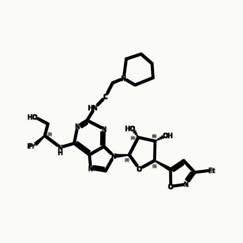 CCc1cc([C@H]2O[C@@H](n3cnc4c(N[C@H](CO)C(C)C)nc(NCCN5CCCCC5)nc43)[C@H](O)[C@@H]2O)on1